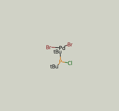 CC(C)(C)P(Cl)C(C)(C)C.[Br][Pd][Br]